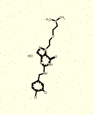 CN(C)CCOCCn1ncc2nc(NCc3ccc(Cl)c(Cl)c3)[nH]c(=O)c21.Cl